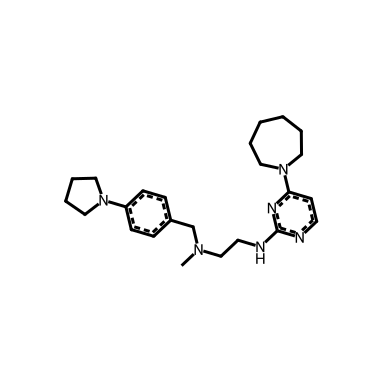 CN(CCNc1nccc(N2CCCCCC2)n1)Cc1ccc(N2CCCC2)cc1